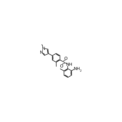 Cc1cc(-c2cnn(C)c2)ccc1S(=O)(=O)Nc1c(C)cccc1N